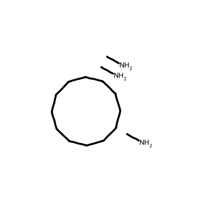 C1CCCCCCCCCCC1.CN.CN.CN